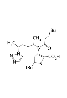 CCC(C)CCC(=O)N(C1=C(C(=O)O)SC(C(C)(C)C)C1)C(C)CCC(C)n1ccnn1